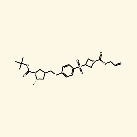 C=CCOC(=O)N1CC(S(=O)(=O)c2ccc(OCC3C[C@H](C)N(C(=O)OC(C)(C)C)C3)cc2)C1